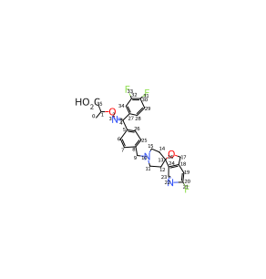 CC(ON=C(c1ccc(CN2CCC3(CC2)OCc2cc(F)ncc23)cc1)c1ccc(F)c(F)c1)C(=O)O